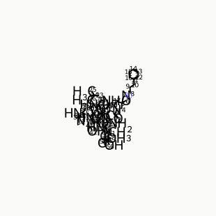 CC(=O)N1CC(O/N=C/CCc2ccccc2)C[C@H]1C(=O)N[C@@H](CC(C)C)C(=O)N[C@@H](Cc1cnc[nH]1)C(=O)N[C@@H](CO)C(=O)N[C@H](C(N)=O)[C@@H](C)OP(=O)(O)O